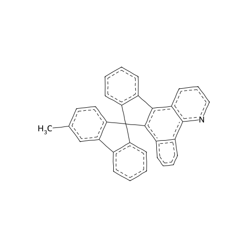 Cc1ccc2c(c1)-c1ccccc1C21c2ccccc2-c2c1c1ccccc1c1ncccc21